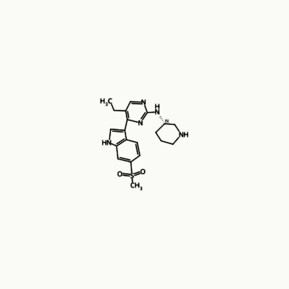 CCc1cnc(N[C@H]2CCCNC2)nc1-c1c[nH]c2cc(S(C)(=O)=O)ccc12